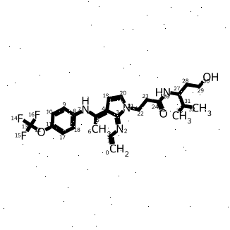 C=C/N=C1\C(=C(/C)Nc2ccc(OC(F)(F)F)cc2)C=CN1CCC(=O)NC(CCO)C(C)C